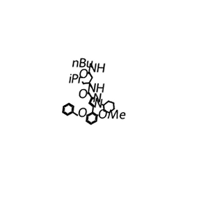 CCCCNC(=O)CC(CC(C)C)NC(=O)c1cc(-c2c(OC)cccc2OCc2ccccc2)n(C2CCCCC2)n1